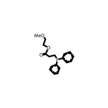 COCCOC(=O)CCP(c1ccccc1)c1ccccc1